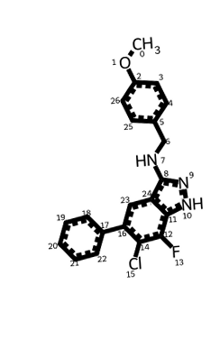 COc1ccc(CNc2n[nH]c3c(F)c(Cl)c(-c4ccccc4)cc23)cc1